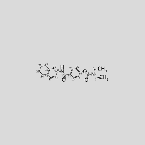 CCN(CC)C(=O)Oc1ccc(C(=O)Nc2ccc3c(c2)CCCC3)cc1